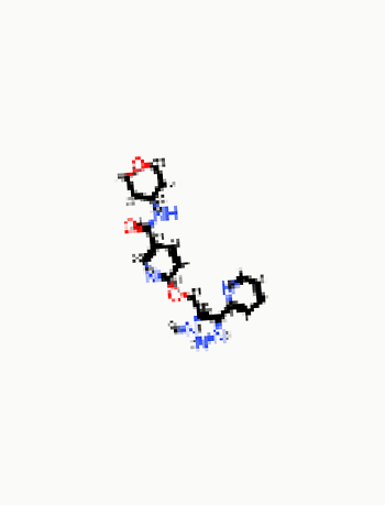 Cn1nnc(-c2ccccn2)c1COc1ccc(C(=O)NC2CCOCC2)cn1